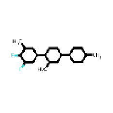 CC1CCC(C2CCC(C3CC(C)C(F)C(F)C3)C(C)C2)CC1